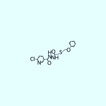 O=C(CSCCOc1ccccc1)NNC(=O)c1ccc(Cl)nc1